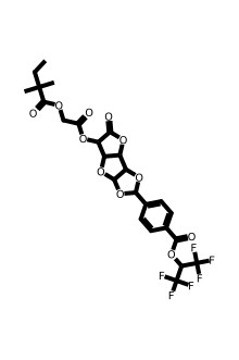 CCC(C)(C)C(=O)OCC(=O)OC1C(=O)OC2C3OC(c4ccc(C(=O)OC(C(F)(F)F)C(F)(F)F)cc4)OC3OC12